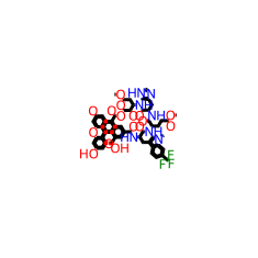 COC(=O)CCC(NC(=O)C(Cc1cn(C)c2cc(C(F)(F)F)ccc12)NC(=O)c1ccc(-c2c3ccc(=O)cc-3oc3cc(O)ccc23)c(C(=O)O)c1)C(=O)NC(Cc1c[nH]cn1)C(=O)NC(CC(=O)OC)C(=O)COC(=O)c1ccccc1